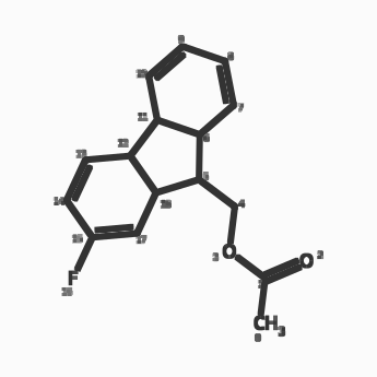 CC(=O)OCC1C2C=CC=CC2C2C=CC(F)=CC21